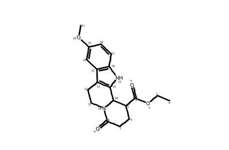 CCOC(=O)C1CCC(=O)N2CCc3c([nH]c4ccc(OC)cc34)C12